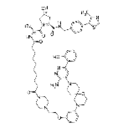 Cc1ncsc1-c1ccc(CNC(=O)[C@@H]2C[C@@H](O)CN2C(=O)[C@@H](NC(=O)CCCCCCCCC(=O)N2CCN(CCOc3cccc(N4CCOC5(CCN(c6cc(-c7ccccc7O)nnc6N)CC5)C4)c3)CC2)C(C)(C)C)cc1